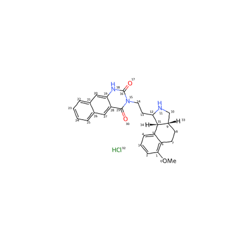 COc1cccc2c1CC[C@H]1CNC(CCn3c(=O)[nH]c4cc5ccccc5cc4c3=O)[C@@H]21.Cl